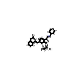 O=C(O)C(F)(F)F.O=C1Cc2ccccc2C(=Cc2ccc3c(/C=C/c4ccncc4)n[nH]c3c2)N1